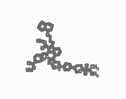 Cc1nn(C)c(COc2ccc(N3CCN(S(=O)(=O)N(C)C)CC3)cc2)c1-c1cccc2c(CCCOc3cccc4ccccc34)c(C(=O)OC(C)(C)C)n(CCN3CCN(C(=O)OC(C)(C)C)CC3)c12